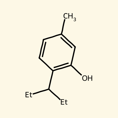 CCC(CC)c1ccc(C)cc1O